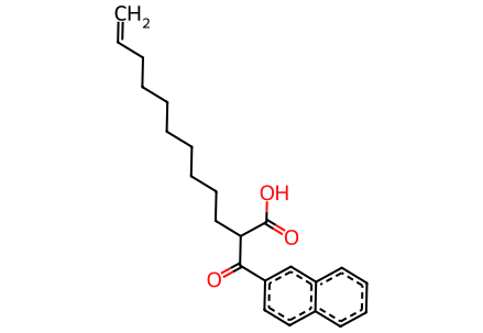 C=CCCCCCCCCC(C(=O)O)C(=O)c1ccc2ccccc2c1